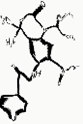 CC(C)N1C(=O)OC(C)(C)c2cc(NC(=O)c3ccncc3)c([N+](=O)[O-])cc21